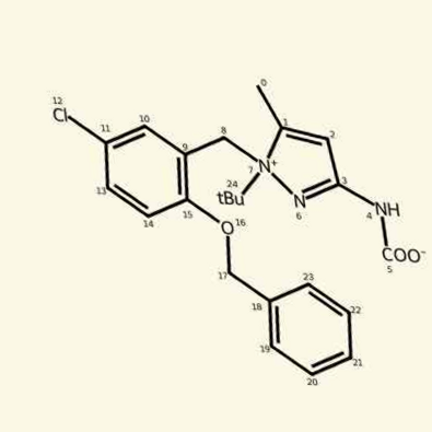 CC1=CC(NC(=O)[O-])=N[N+]1(Cc1cc(Cl)ccc1OCc1ccccc1)C(C)(C)C